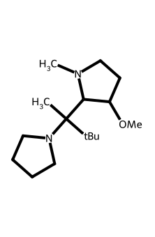 COC1CCN(C)C1C(C)(N1CCCC1)C(C)(C)C